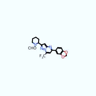 O=CN1CCCCC1c1cc2nc(-c3ccc4c(c3)OCO4)cc(C(F)(F)F)n2n1